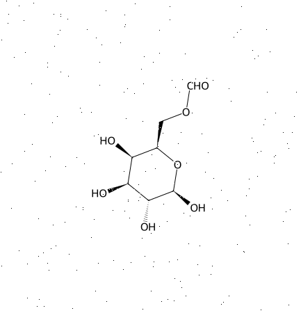 O=COC[C@H]1O[C@@H](O)[C@H](O)[C@@H](O)[C@H]1O